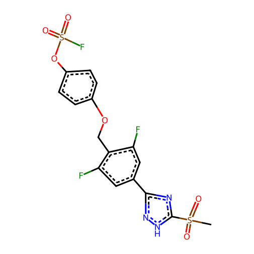 CS(=O)(=O)c1nc(-c2cc(F)c(COc3ccc(OS(=O)(=O)F)cc3)c(F)c2)n[nH]1